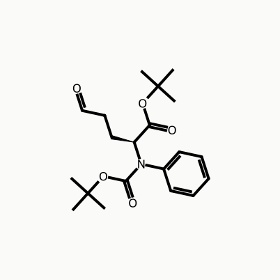 CC(C)(C)OC(=O)[C@H](CCC=O)N(C(=O)OC(C)(C)C)c1ccccc1